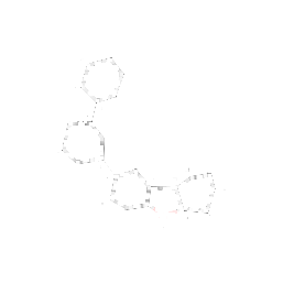 c1ccc(-c2cccc(-c3ccc4oc5ccccc5c4c3)c2)cc1